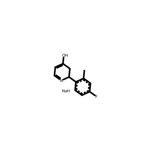 Cc1cc(F)ccc1C1CC(O)=CC=N1.[NaH]